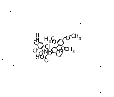 CCOCc1cc(OC)c(-c2ccc(C[C@H](NC(=O)c3c(Cl)cc4[nH]ccc4c3Cl)C(=O)O)c3cccnc23)c(OC)c1